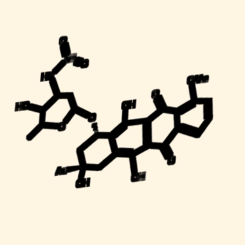 COc1cccc2c1C(=O)c1c(O)c3c(c(O)c1C2=O)C[C@@](O)(C(C)=O)C[C@@H]3OC1CC(N[SH](=O)=O)C(O)C(C)O1